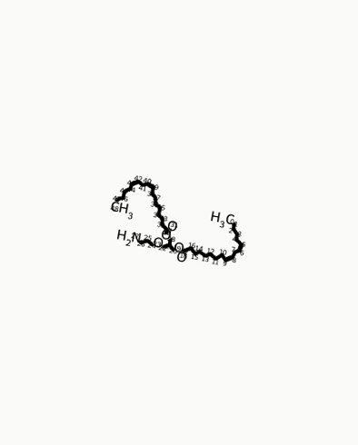 CCCCC/C=C\C/C=C\CCCCCCCC(=O)OCC(COCCCN)COC(=O)CCCCCCC/C=C\C/C=C\CCCCC